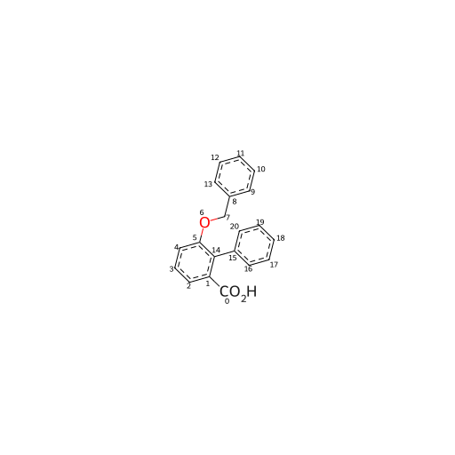 O=C(O)c1cccc(OCc2ccccc2)c1-c1ccccc1